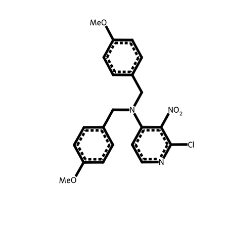 COc1ccc(CN(Cc2ccc(OC)cc2)c2ccnc(Cl)c2[N+](=O)[O-])cc1